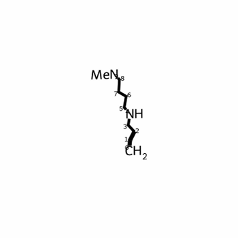 C=C=CCNCCCCNC